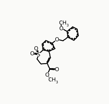 COC(=O)C1=Cc2cc(OCc3ccccc3OC)ccc2S(=O)(=O)CC1